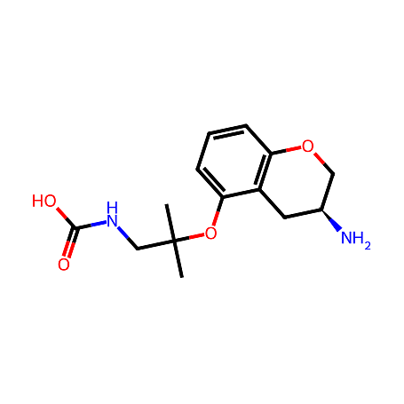 CC(C)(CNC(=O)O)Oc1cccc2c1C[C@H](N)CO2